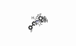 C[C@H]1NS(=O)(=O)[C@@H]2CC(F)(F)[C@@H](C)[C@H](/C=C/c3ccc(-c4cccc(F)c4)cn3)[C@@H]21